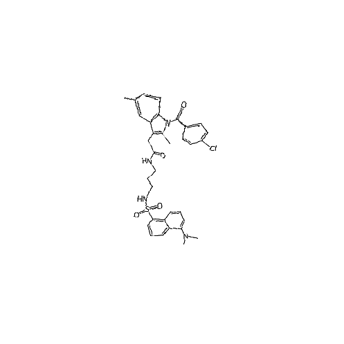 Cc1ccc2c(c1)c(CC(=O)NCCCNS(=O)(=O)c1cccc3c(N(C)C)cccc13)c(C)n2C(=O)c1ccc(Cl)cc1